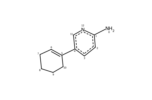 Nc1ccc(C2=CCCCC2)cn1